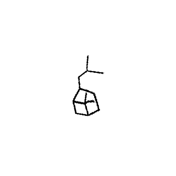 CC(C)CC1CCC2CC1C2(C)C